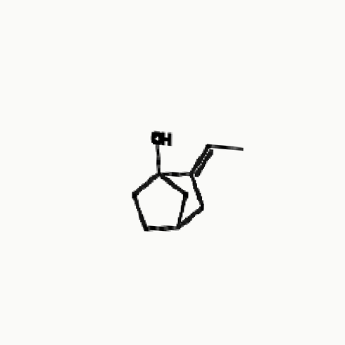 CC=C1CC2CCC1(O)C2